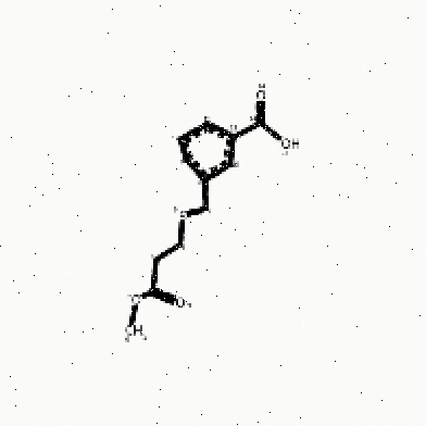 COC(=O)CCSCc1cccc(C(=O)O)c1